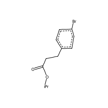 CC(C)OC(=O)CCc1ccc(Br)cc1